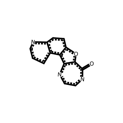 O=c1nccnc2c1oc1ccc3ncccc3c12